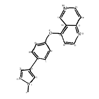 Cn1cc(-c2ccc(Oc3ccnc4ccncc34)cc2)cn1